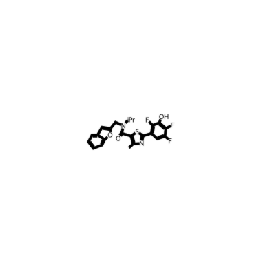 Cc1nc(-c2cc(F)c(F)c(O)c2F)sc1C(=O)N(Cc1cc2ccccc2o1)C(C)C